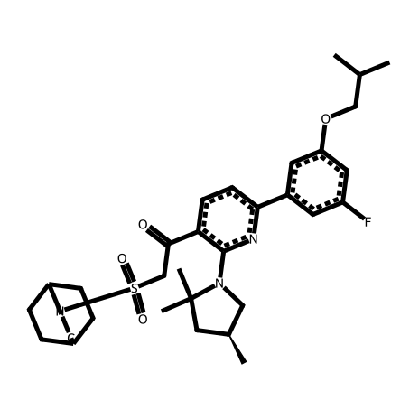 CC(C)COc1cc(F)cc(-c2ccc(C(=O)CS(=O)(=O)N3CC4CCC(CC4)C3)c(N3C[C@@H](C)CC3(C)C)n2)c1